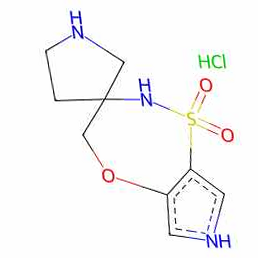 Cl.O=S1(=O)NC2(CCNC2)COc2c[nH]cc21